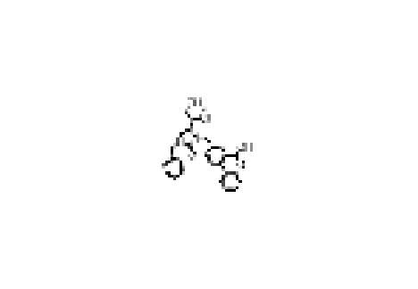 CCC(C)c1cn(Cc2ccccc2)c(=O)n1Cc1ccc(-c2ccccc2)c(C(=O)O)c1